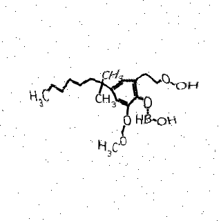 CCCCCCC(C)(C)c1cc(CCOO)c(OBO)c(OCOC)c1